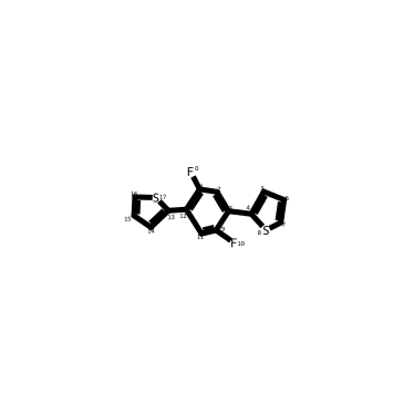 Fc1cc(-c2cccs2)c(F)cc1-c1cccs1